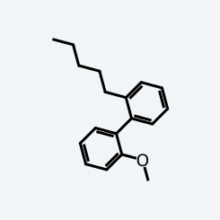 CCCCCc1ccccc1-c1ccccc1OC